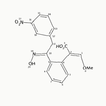 CO/C=C(/C(=O)O)c1ccccc1/C(Cc1cccc([N+](=O)[O-])c1)=N\O